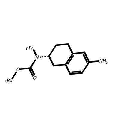 CCCN(C(=O)OC(C)(C)C)[C@@H]1CCc2cc(N)ccc2C1